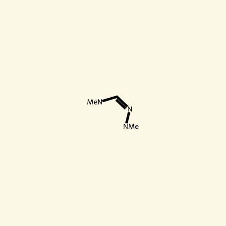 CN/C=N\NC